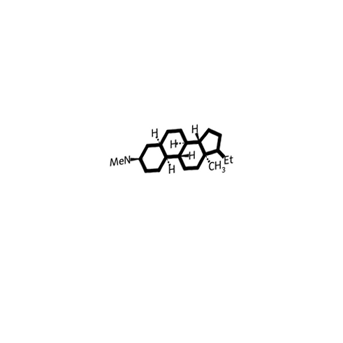 CCC1CC[C@H]2[C@@H]3CC[C@@H]4C[C@H](NC)CC[C@@H]4[C@H]3CC[C@]12C